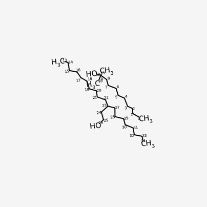 CCCCCCCCCC(C)(C)O.CCCCCCCCCCC(CCO)CCCCCCCC